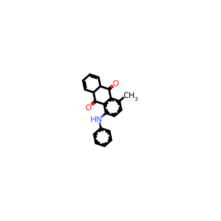 Cc1ccc(Nc2ccccc2)c2c1C(=O)C1C=CC=CC1C2=O